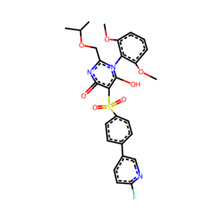 COc1cccc(OC)c1-n1c(COC(C)C)nc(=O)c(S(=O)(=O)c2ccc(-c3ccc(F)nc3)cc2)c1O